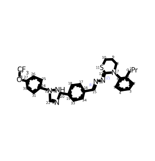 CC(C)c1ccccc1N1CCCS/C1=N\N=C\c1ccc(C2N=CN(c3ccc(OC(F)(F)F)cc3)N2)cc1